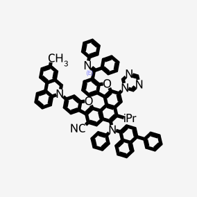 Cc1ccc2c(c1)CN(c1ccc3c(c1)oc1c3c(C#N)cc3c(N(c4ccccc4)c4ccc(-c5ccccc5)c5ccccc45)c(C(C)C)c4cc(N5C=NC=NC5)c5oc6c(/C(=N/c7ccccc7)c7ccccc7)cccc6c5c4c31)c1ccccc1-2